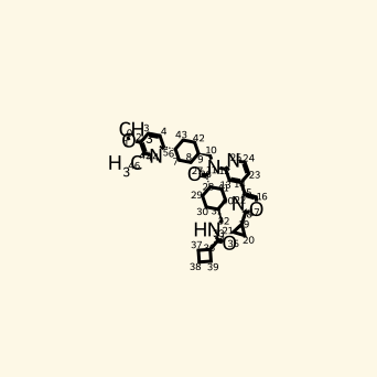 COc1ccc([C@H]2CC[C@H](CN(c3cc(-c4coc(C5CC5)n4)ccn3)C(=O)[C@H]3CC[C@H](CNC(=O)C4CCC4)CC3)CC2)nc1C